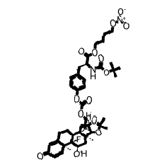 CC(C)(C)OC(=O)N[C@@H](Cc1ccc(OC(=O)OCC(=O)[C@@]23OC(C)(C)O[C@@H]2CC2C4CCC5=CC(=O)C=C[C@]5(C)[C@@]4(F)[C@@H](O)C[C@@]23C)cc1)C(=O)OCCCCO[N+](=O)[O-]